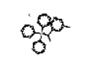 Cc1cncc(C(C)[P+](c2ccccc2)(c2ccccc2)c2ccccc2)c1.[Cl-]